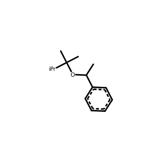 CC(OC(C)(C)C(C)C)c1ccccc1